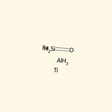 O=[SiH2].[AlH3].[Fe].[Ti]